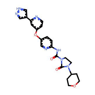 O=C(Nc1ccc(Oc2ccnc(-c3cn[nH]c3)c2)cn1)N1CCN(C2CCOCC2)C1=O